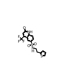 O=c1cc(C(F)(F)F)c2cc(S(=O)(=O)NCCc3cccs3)ccc2[nH]1